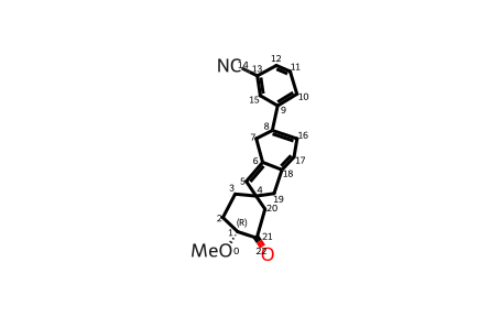 CO[C@@H]1CCC2(C=C3CC(c4cccc(C#N)c4)=CC=C3C2)CC1=O